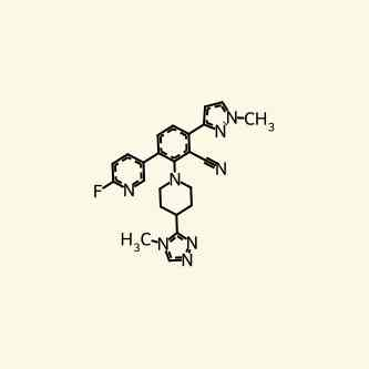 Cn1ccc(-c2ccc(-c3ccc(F)nc3)c(N3CCC(c4nncn4C)CC3)c2C#N)n1